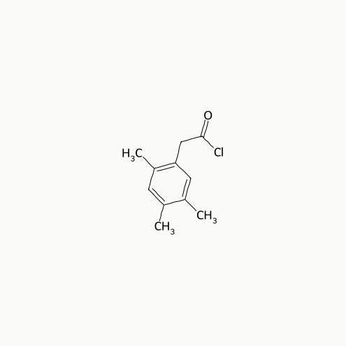 Cc1cc(C)c(CC(=O)Cl)cc1C